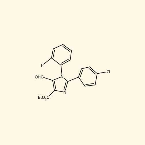 CCOC(=O)c1nc(-c2ccc(Cl)cc2)n(-c2ccccc2F)c1C=O